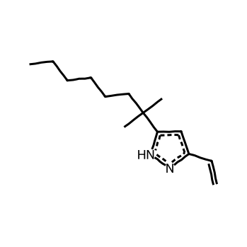 C=Cc1cc(C(C)(C)CCCCCC)[nH]n1